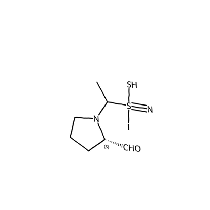 CC(N1CCC[C@H]1C=O)S(#N)(S)I